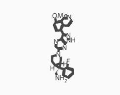 COc1ccc(-c2n[nH]c3nc(N4CC[C@@H]5[C@H](C4)[C@@]5(CN)c4ccccc4F)cnc23)c2ccncc12